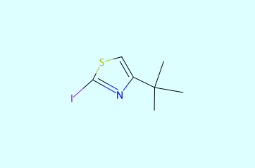 CC(C)(C)c1csc(I)n1